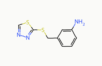 Nc1cccc(CSc2nncs2)c1